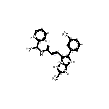 CC(NC(=O)/C=C/c1c(-c2cccc(C(F)(F)F)c2)nc2sc(C(F)(F)F)nn12)c1ccccn1